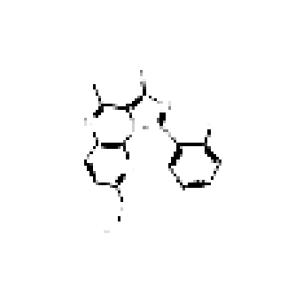 CCOc1ccc2nc(C)c3c(C)nc(-c4ccccc4Cl)n3c2n1